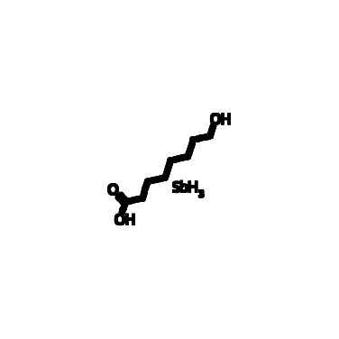 O=C(O)CCCCCCCO.[SbH3]